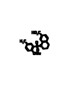 COc1ccc(C)cc1S(=O)(=O)N1CCCc2ccc(C(=O)O)cc21